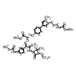 C[n+]1cc(-c2ccc(OC[C@H](O/N=C(\C(=O)N[C@@H]3C(=O)N(OS(=O)(=O)O)C3(C)C)c3csc(NC(=O)OC(C)(C)C)n3)C(=O)OC(C)(C)C)cc2)cn1CCCNC(=O)OC(C)(C)C